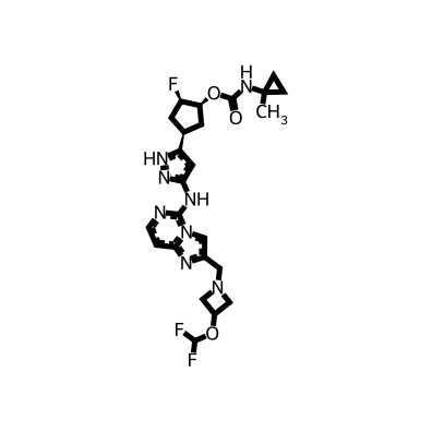 CC1(NC(=O)O[C@H]2C[C@@H](c3cc(Nc4nccc5nc(CN6CC(OC(F)F)C6)cn45)n[nH]3)C[C@H]2F)CC1